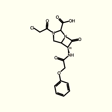 O=C(COc1ccccc1)N[C@@H]1C(=O)N2C1CN(C(=O)CCl)C2C(=O)O